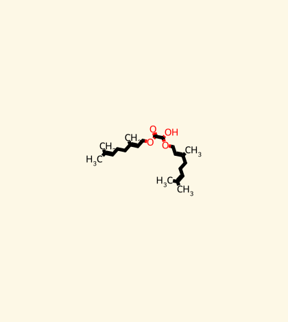 CC(C)=CCC/C(C)=C/COC(=O)C(O)OC/C=C(\C)CCC=C(C)C